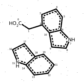 O=C(O)Cc1cccc2[nH]ccc12.c1ccc2[nH]ccc2c1